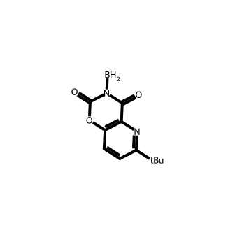 Bn1c(=O)oc2ccc(C(C)(C)C)nc2c1=O